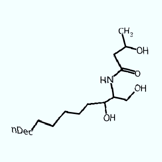 CCCCCCCCCCCCCCCC(O)C(CO)NC(=O)CC(C)O